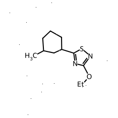 CCOc1nsc(C2CCCC(C)C2)n1